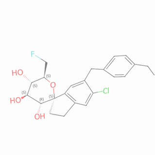 CCc1ccc(Cc2cc3c(cc2Cl)CC[C@]32O[C@H](CF)[C@@H](O)[C@H](O)[C@H]2O)cc1